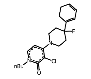 CCCCn1ccc(N2CCC(F)(C3=CC=CCC3)CC2)c(Cl)c1=O